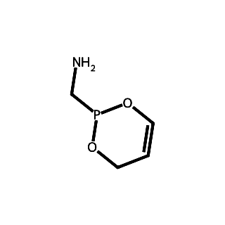 NCP1OC=CCO1